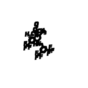 CC(C)(OC=O)N1c2ccc(C(F)(F)F)cc2C(NCc2cc(C(F)(F)F)cc(C(F)(F)F)c2)CC1C1CC1